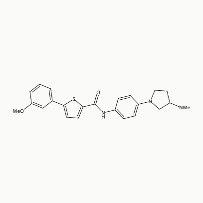 CNC1CCN(c2ccc(NC(=O)c3ccc(-c4cccc(OC)c4)s3)cc2)C1